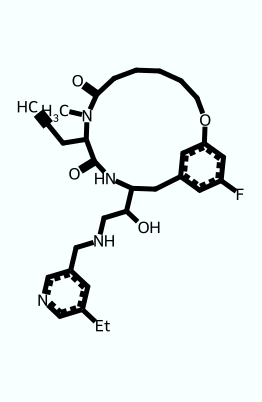 C#CCC1C(=O)NC(C(O)CNCc2cncc(CC)c2)Cc2cc(F)cc(c2)OCCCCCC(=O)N1C